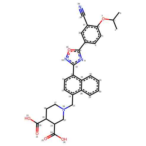 CC(C)Oc1ccc(-c2nc(-c3ccc(CN4CCC(C(=O)O)C(C(=O)O)C4)c4ccccc34)no2)cc1C#N